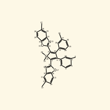 Cc1cccc(C2=C(c3nc4cc(C)ccc4o3)[Si](C)(C)C(c3nc4cc(C)ccc4o3)=C2c2cccc(C)c2)c1